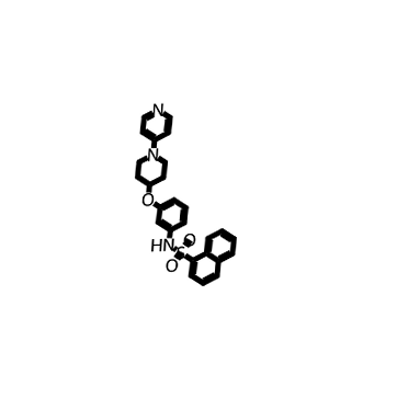 O=S(=O)(Nc1cccc(OC2CCN(c3ccncc3)CC2)c1)c1cccc2ccccc12